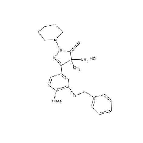 COc1ccc(C2=NN(N3CCCCC3)C(=O)C2(C)C)cc1OCc1ccccc1.Cl